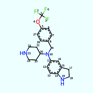 FC(F)(F)Oc1ccc(CN(c2ccc3c(c2)CCN3)C2CCNCC2)cc1